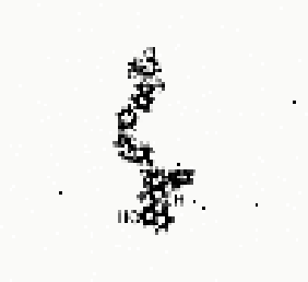 C#Cc1cccc2cc(O)cc(-c3ncc4c(N5CC6CCC(C5)N6)nc(OCC5(CN6CC[C@]7(C6)C[C@@H](CN6CCN(c8ccc9c(c8)CN([C@H]8CCC(=O)NC8=O)C9=O)CC6)C7)CC5)nc4c3F)c12